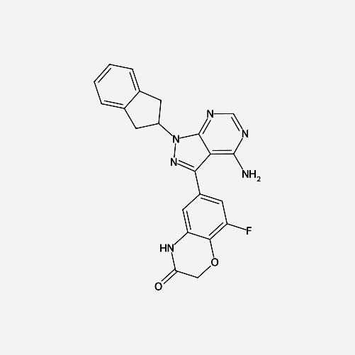 Nc1ncnc2c1c(-c1cc(F)c3c(c1)NC(=O)CO3)nn2C1Cc2ccccc2C1